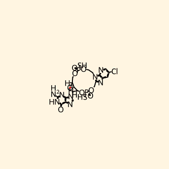 Nc1nc2c(ncn2[C@@H]2O[C@@H]3COP(=O)(S)OCCn4c(nc5cc(Cl)cnc54)COP(=O)(S)O[C@@H]2[C@H]3F)c(=O)[nH]1